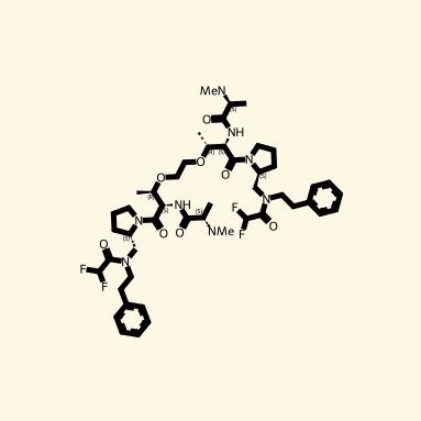 CN[C@@H](C)C(=O)N[C@H](C(=O)N1CCC[C@H]1CN(CCc1ccccc1)C(=O)C(F)F)[C@@H](C)OCCO[C@H](C)[C@H](NC(=O)[C@H](C)NC)C(=O)N1CCC[C@H]1CN(CCc1ccccc1)C(=O)C(F)F